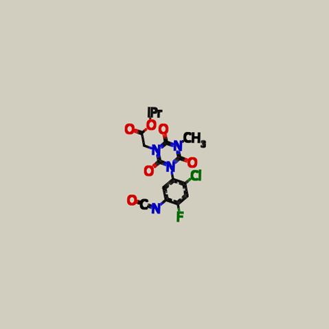 CC(C)OC(=O)Cn1c(=O)n(C)c(=O)n(-c2cc(N=C=O)c(F)cc2Cl)c1=O